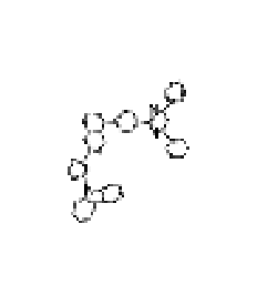 C1=CC(c2cc(-c3ccccc3)nc(-c3ccc(-c4cccc5cc(-c6cccc(-n7c8ccccc8c8ccccc87)c6)ccc45)cc3)n2)=CCC1